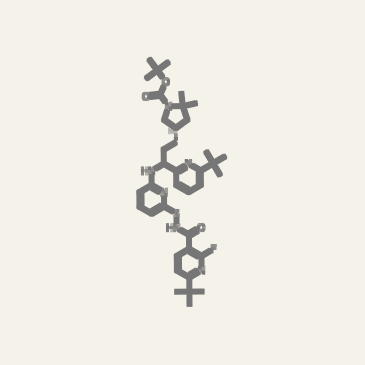 CC(C)(C)OC(=O)N1C[C@@H](CCC(Nc2cccc(SNC(=O)c3ccc(C(C)(C)C)nc3F)n2)c2cccc(C(C)(C)C)n2)CC1(C)C